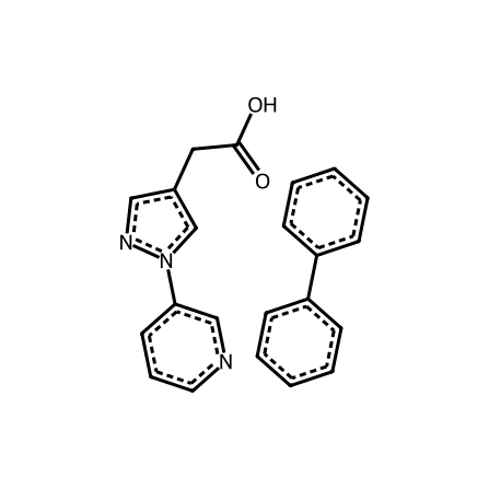 O=C(O)Cc1cnn(-c2cccnc2)c1.c1ccc(-c2ccccc2)cc1